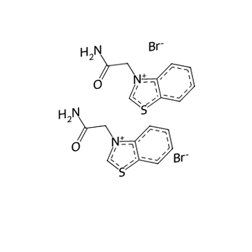 NC(=O)C[n+]1csc2ccccc21.NC(=O)C[n+]1csc2ccccc21.[Br-].[Br-]